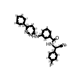 N#CC(NC(=O)c1cccc(Nc2ccc(-c3ccccc3)nn2)c1)c1ccc(F)cc1